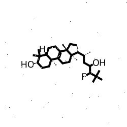 C[C@H](CC(O)C(F)C(C)(C)C)[C@H]1CC[C@@]2(C)C3=C(CC[C@]12C)[C@@]1(C)CC[C@H](O)C(C)(C)[C@@H]1CC3